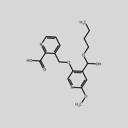 CCCCOC(O)c1cc(OC)ncc1OCc1cccnc1C(=O)O